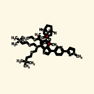 C=C(OCC)c1c([C@@H]2C[C@H]3CC[C@@H](C2)N3C(=O)OC(C)(C)C)nc2c(-c3ccc(-c4ccn(C)n4)nc3)cnn2c1N(COCC[Si](C)(C)C)COCC[Si](C)(C)C